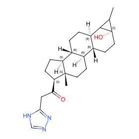 CC1C2[C@@H]3CC[C@@H]4[C@H](CC[C@]5(C)[C@@H](C(=O)Cc6nnc[nH]6)CC[C@@H]45)[C@H]3CC[C@]12O